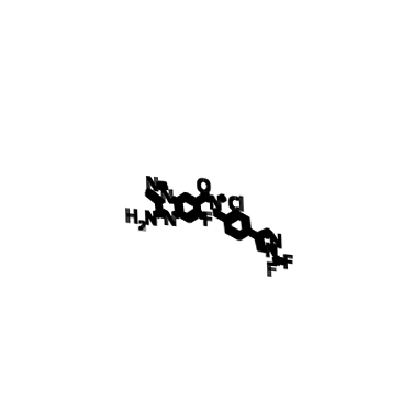 CN(Cc1ccc(-c2cnn(C(F)F)c2)cc1Cl)C(=O)c1cc2c(cc1F)nc(N)c1cncn12